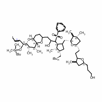 C=C1C[C@H](CCCO)OC1CC[C@H]1C[C@@H](C)C(=C)[C@@H](CC2C[C@H](C[C@H](C)CC)[C@H](C)[C@H]2C(C(O)CC2CC[C@@H]3O[C@@H]([C@H](/C=C/I)O[Si](C)(C)C(C)(C)C)[C@@H](C)[C@@H](C)[C@H]3O2)S(=O)(=O)c2ccccc2)O1